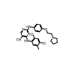 [C-]#[N+]c1cnc(Nc2ccc(OCCN3CCCC3)cc2)nc1Nc1cc(C)c(Cl)cc1Cl